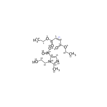 CCOC(=O)/C=C\C(=O)OCC.Cc1ncc([N+](=O)[O-])n1CCO